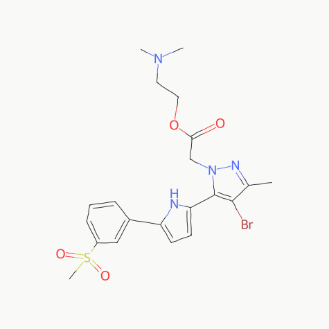 Cc1nn(CC(=O)OCCN(C)C)c(-c2ccc(-c3cccc(S(C)(=O)=O)c3)[nH]2)c1Br